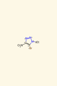 CCn1nnc([N+](=O)[O-])c1Br